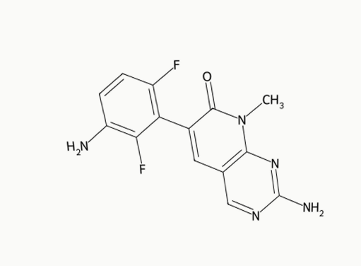 Cn1c(=O)c(-c2c(F)ccc(N)c2F)cc2cnc(N)nc21